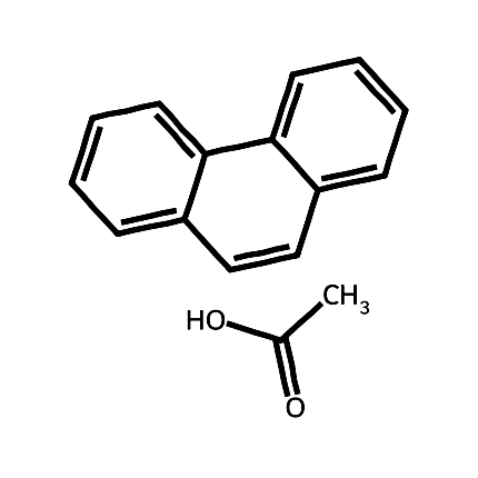 CC(=O)O.c1ccc2c(c1)ccc1ccccc12